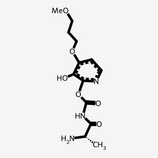 COCCCOc1ccnc(OC(=O)NC(=O)[C@H](C)N)c1O